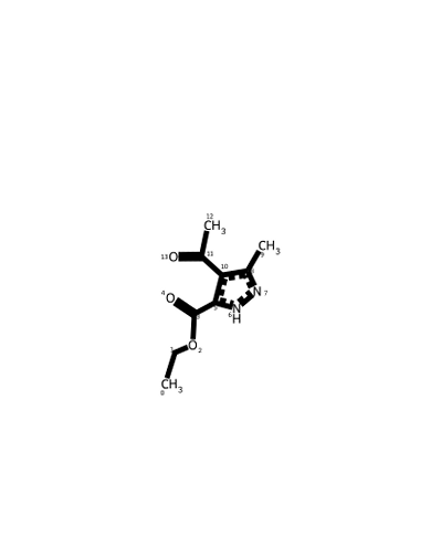 CCOC(=O)c1[nH]nc(C)c1C(C)=O